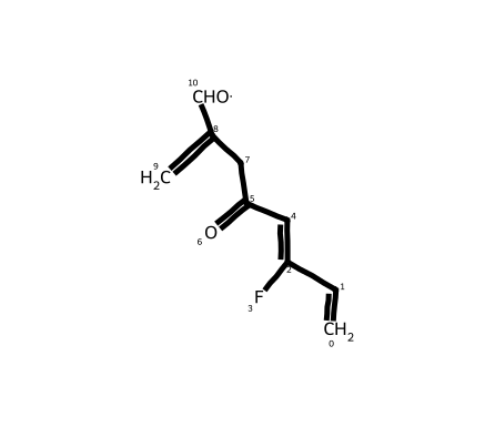 C=CC(F)=CC(=O)CC(=C)[C]=O